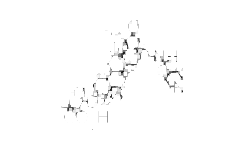 CC(C)C1=C2[C@H]3CCC4[C@@]5(C)CC[C@H](OC(=O)CC(C)(C)C(=O)O)C(C)(C)[C@@H]5CC[C@@]4(C)[C@]3(C)CC[C@@]2(CCNC(C)(C)c2ccncc2)CC1=O